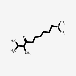 CC(C)C(C)C(=O)CCCCCCN(C)C